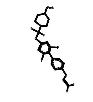 CCCCCC1CCC(C(F)(F)Oc2cc(F)c(-c3ccc(OC=C(F)F)cc3)c(F)c2)CC1